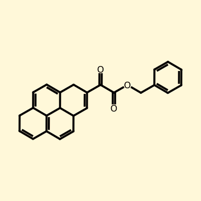 O=C(OCc1ccccc1)C(=O)C1=CC2C=CC3=C4C(=CC=C(C1)C42)CC=C3